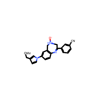 COCc1ccn(-c2ccc3c(c2)C[NH+]([O-])CC(c2cccc(C#N)c2)=N3)c1